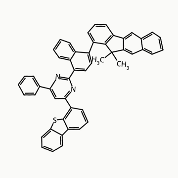 CC1(C)c2cc3ccccc3cc2-c2cccc(-c3ccc(-c4nc(-c5ccccc5)cc(-c5cccc6c5sc5ccccc56)n4)c4ccccc34)c21